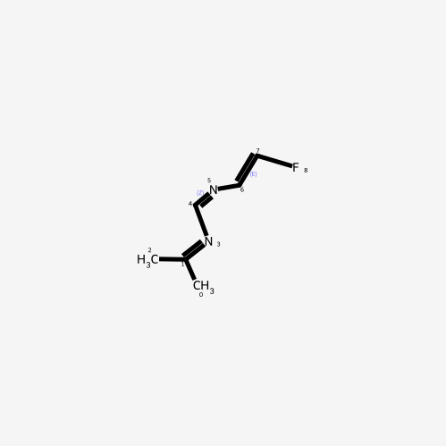 CC(C)=N/C=N\C=C\F